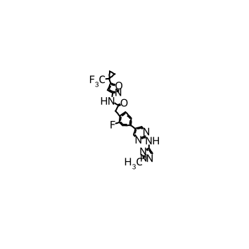 Cn1ncc(Nc2ncc(-c3ccc(CC(=O)Nc4cc(C5(C(F)(F)F)CC5)on4)c(F)c3)cn2)n1